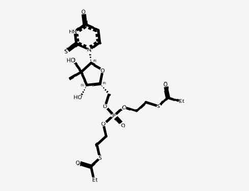 CCC(=O)SCCOP(=O)(OCCSC(=O)CC)OC[C@H]1O[C@@H](n2ccc(=O)[nH]c2=S)C(C)(O)[C@H]1O